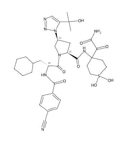 CC(C)(O)c1cnnn1[C@H]1C[C@@H](C(=O)NC2(C(=O)C(N)=O)CCS(O)(O)CC2)N(C(=O)[C@@H](CC2CCCCC2)NC(=O)c2ccc(C#N)cc2)C1